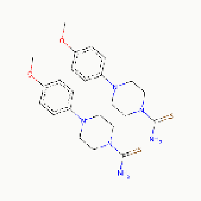 COc1ccc(N2CCN(C(N)=S)CC2)cc1.COc1ccc(N2CCN(C(N)=S)CC2)cc1